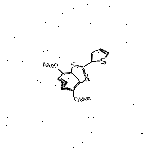 COc1ccc(OC)c2sc(-c3cccs3)nc12